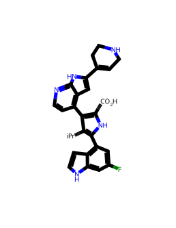 CC(C)c1c(-c2cc(F)cc3[nH]ccc23)[nH]c(C(=O)O)c1-c1ccnc2[nH]c(C3=CCNCC3)cc12